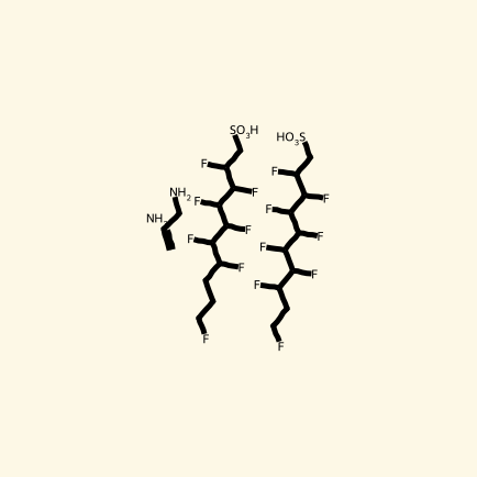 C=CCN.N.O=S(=O)(O)CC(F)C(F)C(F)C(F)C(F)C(F)C(F)CCF.O=S(=O)(O)CC(F)C(F)C(F)C(F)C(F)C(F)CCCF